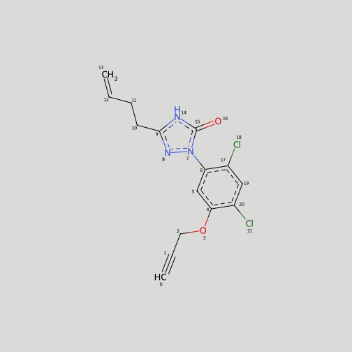 C#CCOc1cc(-n2nc(CCC=C)[nH]c2=O)c(Cl)cc1Cl